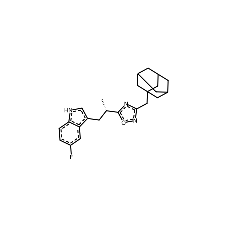 C[C@@H](Cc1c[nH]c2ccc(F)cc12)c1nc(CC23CC4CC(CC(C4)C2)C3)no1